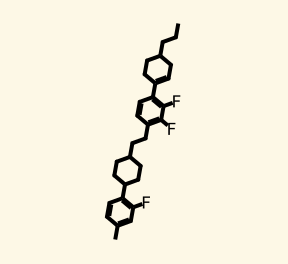 CCCC1CC=C(c2ccc(CCC3CCC(c4ccc(C)cc4F)CC3)c(F)c2F)CC1